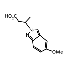 COc1ccc2nn(C(C)CC(=O)O)cc2c1